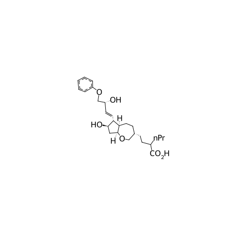 CCCC(CC[C@H]1CC[C@@H]2[C@@H](C=C[C@@H](O)COc3ccccc3)[C@H](O)C[C@@H]2OC1)C(=O)O